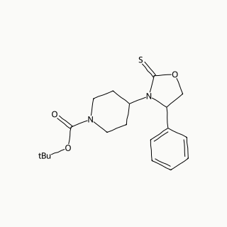 CC(C)(C)OC(=O)N1CCC(N2C(=S)OCC2c2ccccc2)CC1